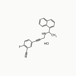 CC(NCC#Cc1ccc(F)c(C#N)c1)c1cccc2ccccc12.Cl